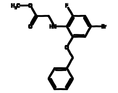 COC(=O)CNc1c(F)cc(Br)cc1OCc1ccccc1